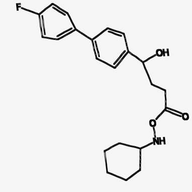 O=C(CCC(O)c1ccc(-c2ccc(F)cc2)cc1)ONC1CCCCC1